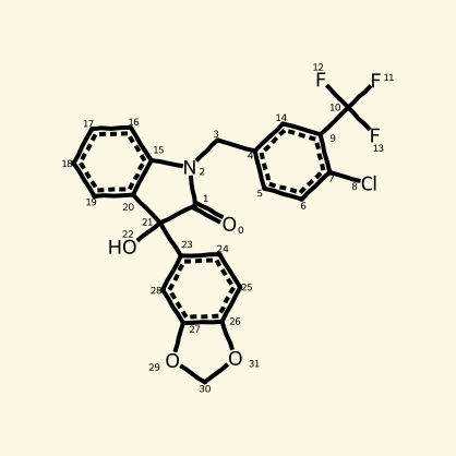 O=C1N(Cc2ccc(Cl)c(C(F)(F)F)c2)c2ccccc2C1(O)c1ccc2c(c1)OCO2